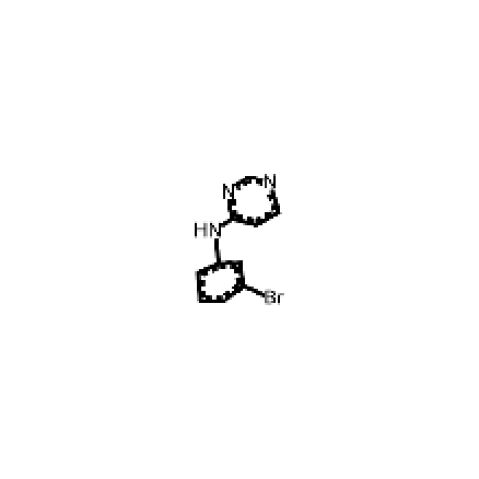 Brc1cccc(Nc2ccncn2)c1